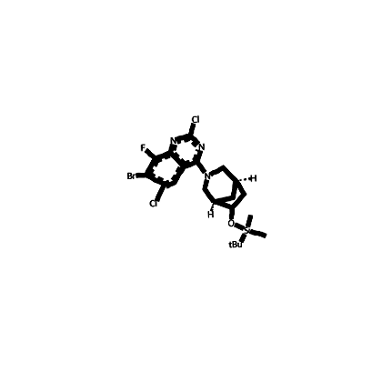 CC(C)(C)[Si](C)(C)OC1C[C@H]2C[C@@H]1CN(c1nc(Cl)nc3c(F)c(Br)c(Cl)cc13)C2